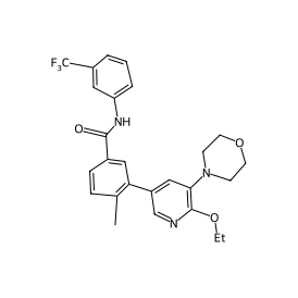 CCOc1ncc(-c2cc(C(=O)Nc3cccc(C(F)(F)F)c3)ccc2C)cc1N1CCOCC1